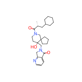 C[C@H](CC1CCCCC1)C(=O)N1CCC(O)(CN2Cc3ncccc3C2=O)C2(CCCC2)C1